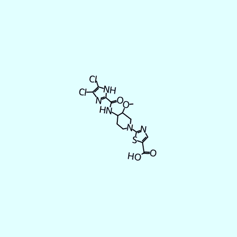 COC1CN(c2ncc(C(=O)O)s2)CCC1NC(=O)c1nc(Cl)c(Cl)[nH]1